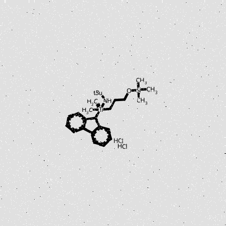 Cl.Cl.[CH2]=[Ti]([CH3])([CH2]CCO[Si](C)(C)C)([NH]C(C)(C)C)[CH]1c2ccccc2-c2ccccc21